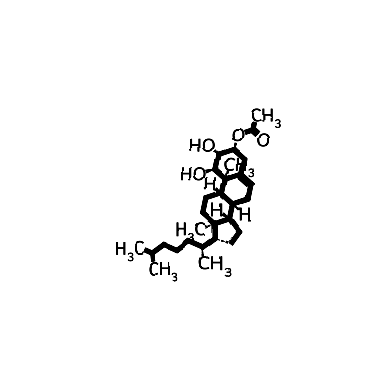 CC(=O)O[C@@H]1CC2=CC[C@H]3[C@@H]4CC[C@H]([C@H](C)CCCC(C)C)[C@@]4(C)CC[C@@H]3[C@@]2(C)[C@@H](O)[C@H]1O